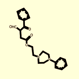 O=CC(CC(=O)OCCN1CCN(c2ccccc2)CC1)C(=O)c1ccccc1